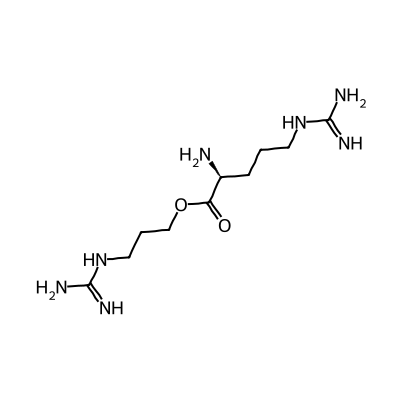 N=C(N)NCCCOC(=O)[C@@H](N)CCCNC(=N)N